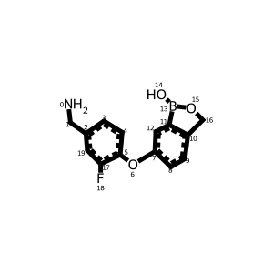 NCc1ccc(Oc2ccc3c(c2)B(O)OC3)c(F)c1